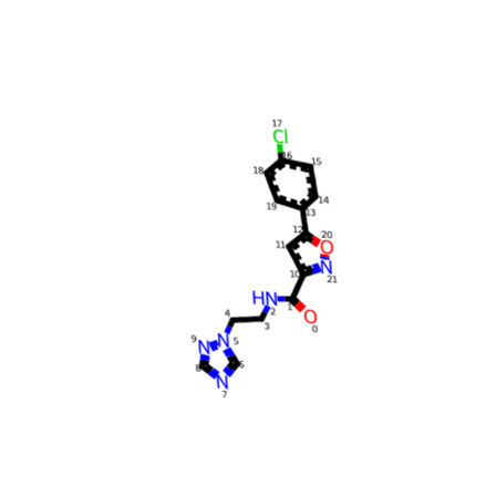 O=C(NCCn1cncn1)c1cc(-c2ccc(Cl)cc2)on1